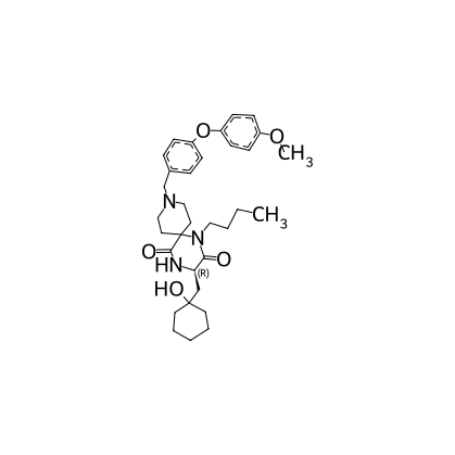 CCCCN1C(=O)[C@@H](CC2(O)CCCCC2)NC(=O)C12CCN(Cc1ccc(Oc3ccc(OC)cc3)cc1)CC2